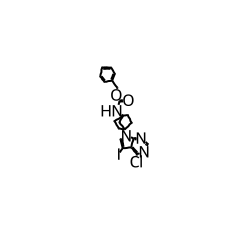 O=C(NC12CCC(n3cc(I)c4c(Cl)ncnc43)(CC1)C2)OCc1ccccc1